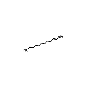 CCC/C=C/CCCCCC/C=C/C#N